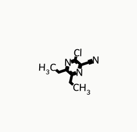 CCc1nc(Cl)c(C#N)nc1CC